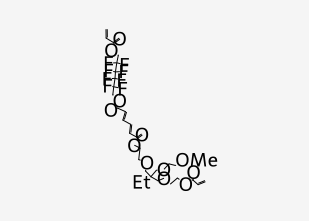 C=CC(=O)OCCOCC(CC)(COCCOC)COCCOC(=O)/C=C/C=C/C(=O)OCC(F)(F)C(F)(F)C(F)(F)C(F)(F)COC(=O)C=C